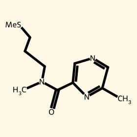 CSCCCN(C)C(=O)c1cncc(C)n1